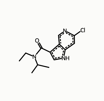 CCN(C(=O)c1c[nH]c2cc(Cl)ncc12)C(C)C